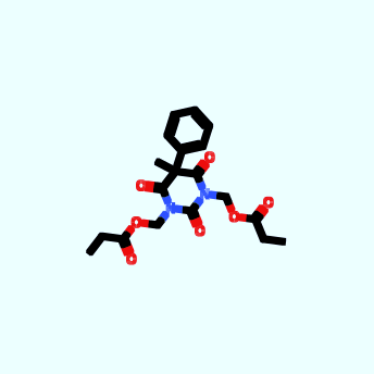 CCC(=O)OCN1C(=O)N(COC(=O)CC)C(=O)C(C)(c2ccccc2)C1=O